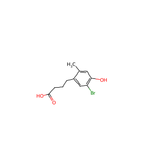 Cc1cc(O)c(Br)cc1CCCC(=O)O